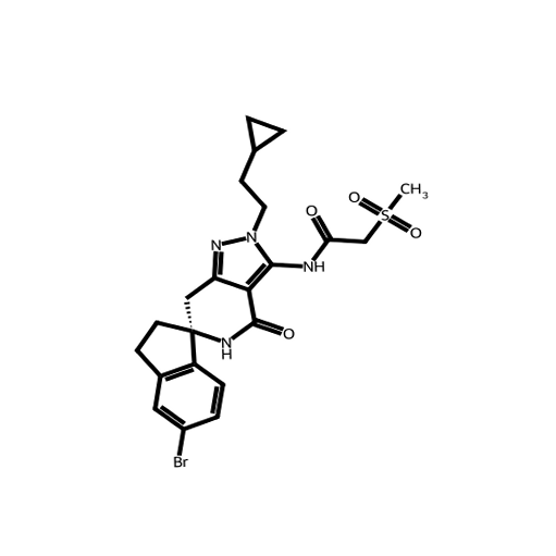 CS(=O)(=O)CC(=O)Nc1c2c(nn1CCC1CC1)C[C@]1(CCc3cc(Br)ccc31)NC2=O